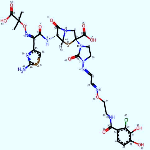 CC(C)(O/N=C(\C(=O)N[C@@H]1C(=O)N2C[C@@](C(=O)O)(N3CCN(/N=C/C=N/OCCNC(=O)c4ccc(O)c(O)c4Cl)C3=O)S[C@H]12)c1csc(N)n1)C(=O)O